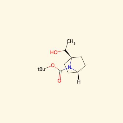 CC(O)[C@]12CC[C@H](CC1)N2C(=O)OC(C)(C)C